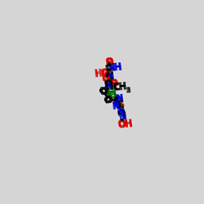 COc1nc(-c2cccc(-c3cccc(-c4cnc5sc(N6CCN(CCO)CC6)nn45)c3Cl)c2Cl)ccc1CN(C[C@@H]1CCC(=O)N1)C(=O)O